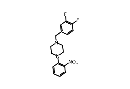 O=[N+]([O-])c1[c]cccc1N1CCN(Cc2ccc(F)c(F)c2)CC1